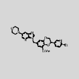 CCc1ccc(C2COc3cc(Cn4cnc5cc(N6CCOCC6)cnc54)cc(OC)c3O2)cn1